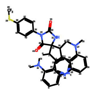 CC(c1ccnc2cccc(N(C)C)c12)C1(C(C)c2ccnc3cccc(N(C)C)c23)NC(=O)N(c2ccc(SC(F)(F)F)cc2)C1=O